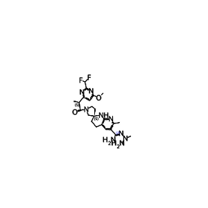 COc1cc([C@H](C)C(=O)N2CC[C@@]3(CCc4cc(/C(N)=N/N(C)N)c(C)nc4N3)C2)nc(C(F)F)n1